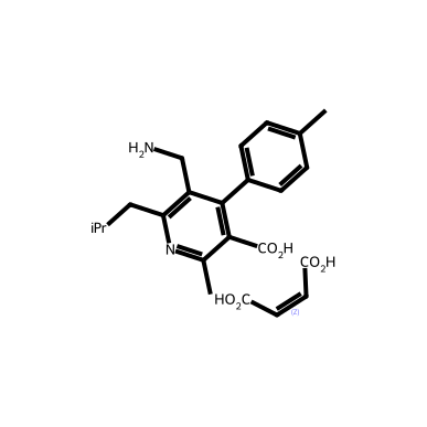 Cc1ccc(-c2c(CN)c(CC(C)C)nc(C)c2C(=O)O)cc1.O=C(O)/C=C\C(=O)O